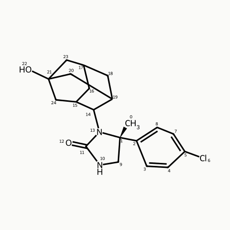 C[C@@]1(c2ccc(Cl)cc2)CNC(=O)N1C1C2CC3CC1CC(O)(C3)C2